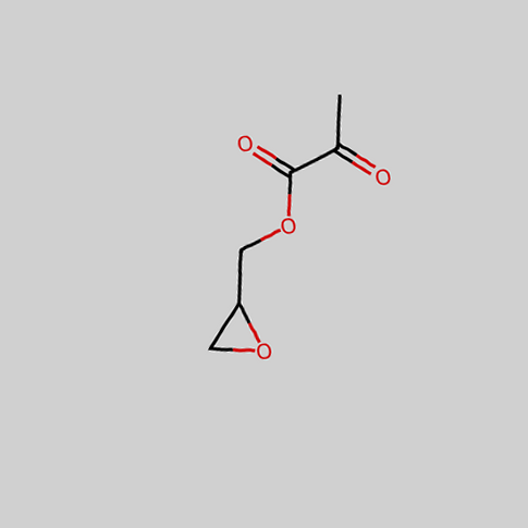 CC(=O)C(=O)OCC1CO1